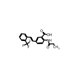 CCC(=O)Nc1ccc(/C=C/c2ccccc2C(F)(F)F)cc1C(=O)O